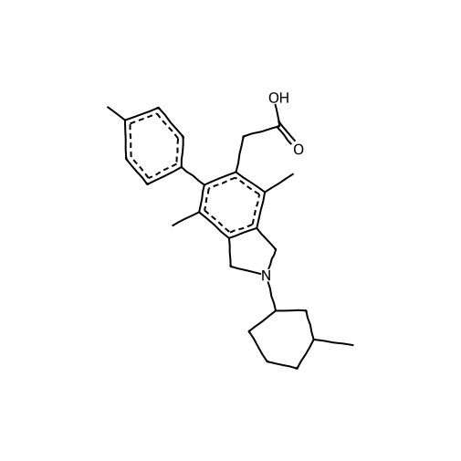 Cc1ccc(-c2c(C)c3c(c(C)c2CC(=O)O)CN(C2CCCC(C)C2)C3)cc1